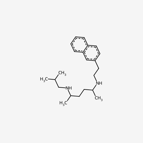 CC(C)CNC(C)CCC(C)NCCc1ccc2ccccc2c1